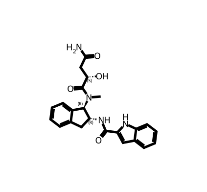 CN(C(=O)[C@@H](O)CC(N)=O)[C@@H]1c2ccccc2C[C@H]1NC(=O)c1cc2ccccc2[nH]1